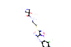 O=C(NCCSc1nonc1/C(=N\O)Nc1ccc(F)c(Cl)c1)C1(O)CNC1